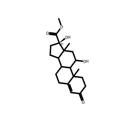 COC(=O)[C@@]1(O)CCC2C3CCC4=CC(=O)CCC4(C)C3C(O)CC21C